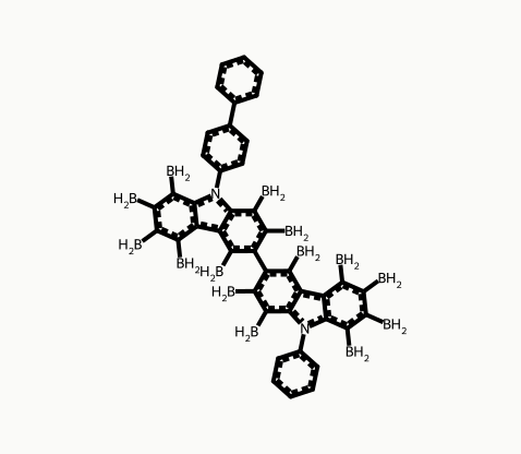 Bc1c(B)c(B)c2c(c1B)c1c(B)c(-c3c(B)c(B)c4c(c3B)c3c(B)c(B)c(B)c(B)c3n4-c3ccc(-c4ccccc4)cc3)c(B)c(B)c1n2-c1ccccc1